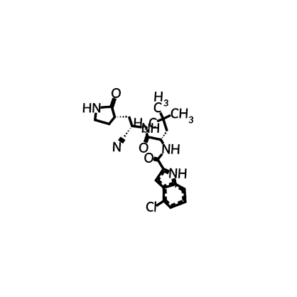 CC(C)(C)C[C@H](NC(=O)c1cc2c(Cl)cccc2[nH]1)C(=O)N[C@H](C#N)C[C@@H]1CCNC1=O